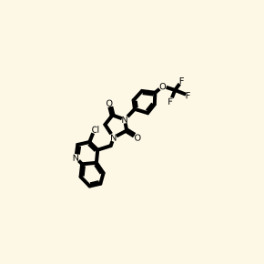 O=C1CN(Cc2c(Cl)cnc3ccccc23)C(=O)N1c1ccc(OC(F)(F)F)cc1